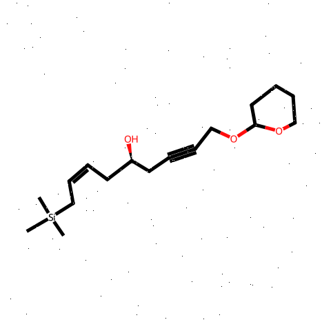 C[Si](C)(C)C/C=C\C[C@@H](O)CC#CCOC1CCCCO1